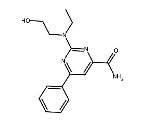 CCN(CCO)c1nc(C(N)=O)cc(-c2ccccc2)n1